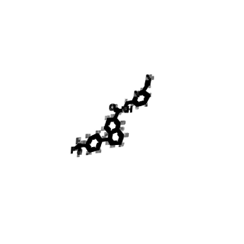 N#Cc1cccc(CNC(=O)c2ccc3c(-c4ccc(C(F)(F)F)cc4)cccc3c2)n1